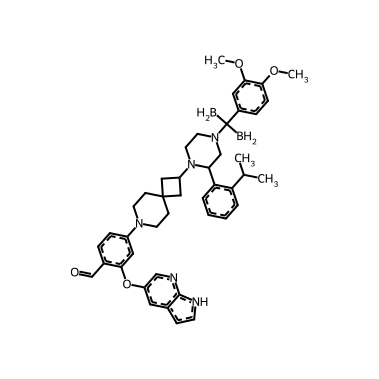 BC(B)(c1ccc(OC)c(OC)c1)N1CCN(C2CC3(CCN(c4ccc(C=O)c(Oc5cnc6[nH]ccc6c5)c4)CC3)C2)C(c2ccccc2C(C)C)C1